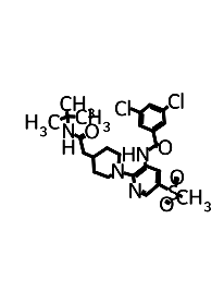 CC(C)(C)NC(=O)CC1CCN(c2ncc(S(C)(=O)=O)cc2NC(=O)c2cc(Cl)cc(Cl)c2)CC1